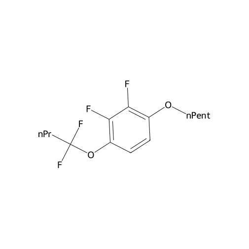 CCCCCOc1ccc(OC(F)(F)CCC)c(F)c1F